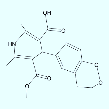 COC(=O)C1=C(C)NC(C)=C(C(=O)O)C1c1ccc2c(c1)CCOO2